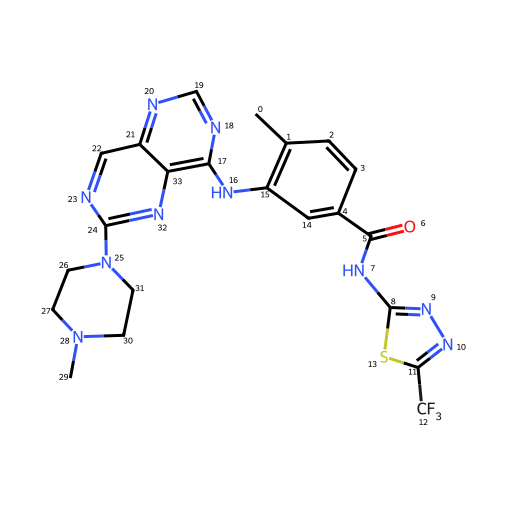 Cc1ccc(C(=O)Nc2nnc(C(F)(F)F)s2)cc1Nc1ncnc2cnc(N3CCN(C)CC3)nc12